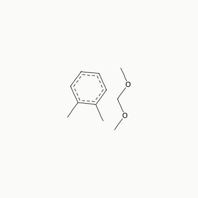 COCOC.Cc1ccccc1C